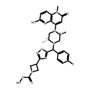 C[C@@H]1CN(c2cc(=O)n(C)c3ccc(C#N)nc23)[C@@H](C)CN1C(c1ccc(F)cc1)c1nc(C2CN(C(=O)OC(C)(C)C)C2)no1